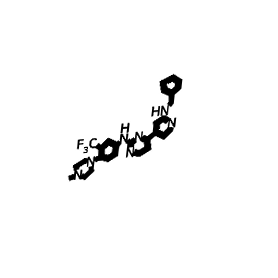 CN1CCN(c2ccc(Nc3nccc(-c4ccnc(NCc5ccccc5)c4)n3)cc2C(F)(F)F)CC1